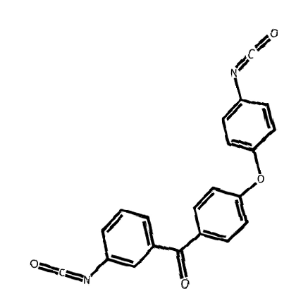 O=C=Nc1ccc(Oc2ccc(C(=O)c3cccc(N=C=O)c3)cc2)cc1